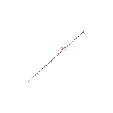 CCCCCCCCCCCCCCCCCCCCCCCCCCCCCCCC(=O)OCCCCCCCCCCCCCCCC(C)C